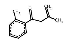 C=C(C)CC(=O)c1ccccc1C